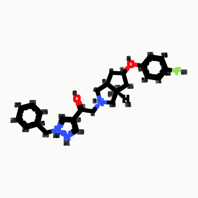 O=C(CN1CC2CC(Oc3ccc(F)cc3)C[C@H]2C1)c1cnn(Cc2ccccc2)c1